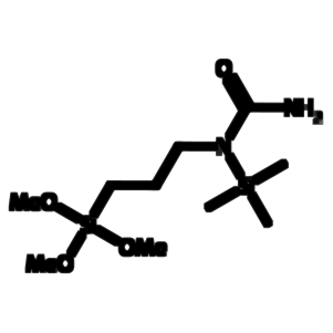 CO[Si](CCCN(C(N)=O)[Si](C)(C)C)(OC)OC